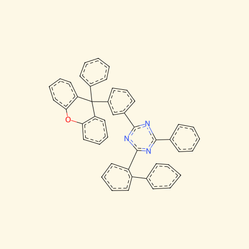 c1ccc(-c2nc(-c3cccc(C4(c5ccccc5)c5ccccc5Oc5ccccc54)c3)nc(-c3ccccc3-c3ccccc3)n2)cc1